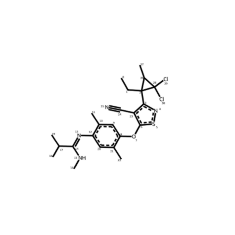 CCC1(c2nsc(Oc3cc(C)c(N=C(NC)C(C)C)cc3C)c2C#N)C(C)C1(Cl)Cl